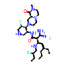 CCC/C(=C\C(NCC(F)CC)C(C(=O)NC1CNCC(F)C1N1CCN2CCN(C)C(=O)C2C1)C(N)N)CC